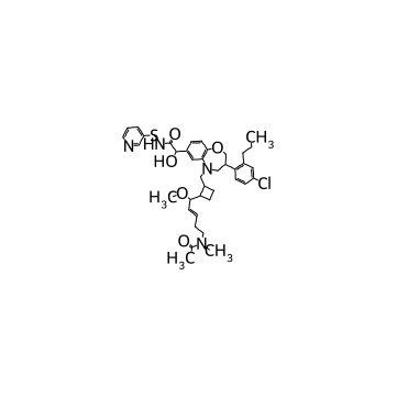 CCCc1cc(Cl)ccc1C1COc2ccc(C(O)C(=O)NSc3cccnc3)cc2N(CC2CCC2C(/C=C/CCN(C)C(C)=O)OC)C1